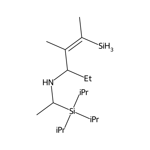 CCC(NC(C)[Si](C(C)C)(C(C)C)C(C)C)C(C)=C(C)[SiH3]